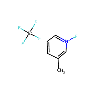 Cc1ccc[n+](F)c1.F[B-](F)(F)F